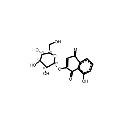 O=C1C=C(O[C@H]2O[C@H](CO)[C@@H](O)[C@H](O)[C@H]2O)C(=O)c2c(O)cccc21